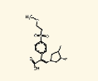 COCCS(=O)(=O)c1ccc(/C(=C\[C@H]2C[C@@H](F)[C@@H](F)C2)C(=O)O)cc1